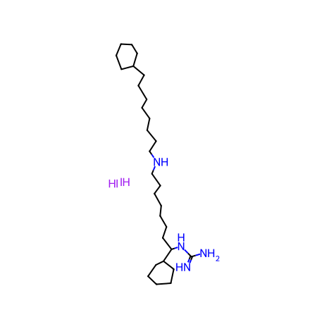 I.I.N=C(N)NC(CCCCCCCNCCCCCCCCC1CCCCC1)C1CCCCC1